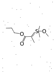 CCCOC(=O)C(C)=C[Si](C)(C)OC